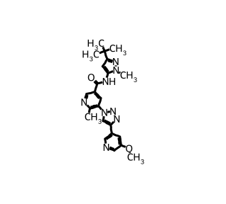 COc1cncc(-c2cn(-c3cc(C(=O)Nc4cc(C(C)(C)C)nn4C)cnc3C)nn2)c1